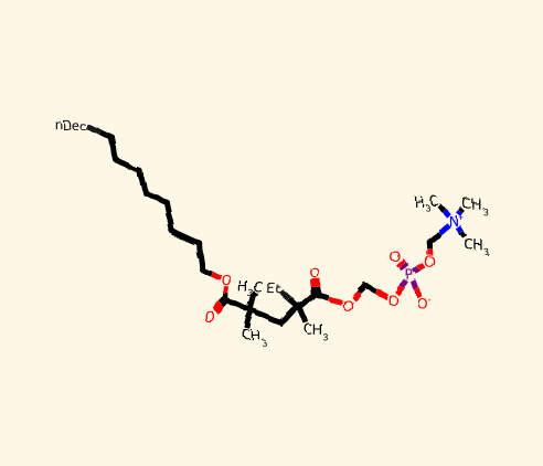 CCCCCCCCCCCCCCCCCCOC(=O)C(C)(C)CC(C)(CC)C(=O)OCOP(=O)([O-])OC[N+](C)(C)C